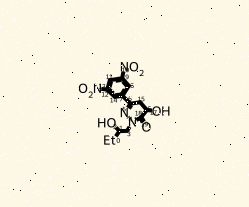 CCC(O)CN1N=C(c2cc([N+](=O)[O-])cc([N+](=O)[O-])c2)CC(O)C1=O